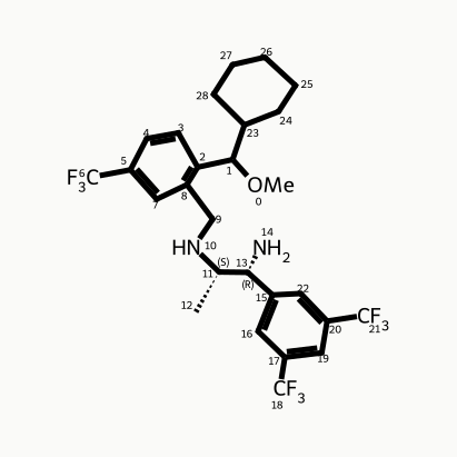 COC(c1ccc(C(F)(F)F)cc1CN[C@@H](C)[C@H](N)c1cc(C(F)(F)F)cc(C(F)(F)F)c1)C1CCCCC1